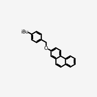 CCC(C)c1ccc(COc2ccc3c(ccc4ccccc43)c2)cc1